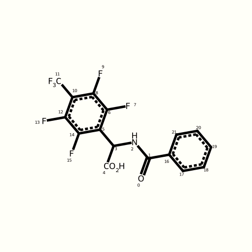 O=C(NC(C(=O)O)c1c(F)c(F)c(C(F)(F)F)c(F)c1F)c1ccccc1